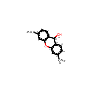 COc1ccc2c(c1)Oc1cc(OC)ccc1[C]2O